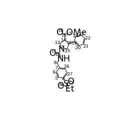 CCS(=O)(=O)c1ccc(CNC(=O)N2CC(C(=O)OC)C(c3ccccc3)C2)cc1